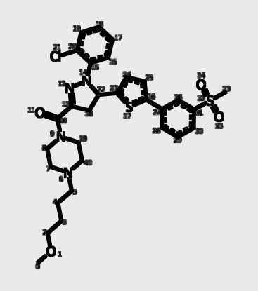 COCCCCN1CCN(C(=O)C2=NN(c3ccccc3Cl)C(c3ccc(-c4cccc(S(C)(=O)=O)c4)s3)C2)CC1